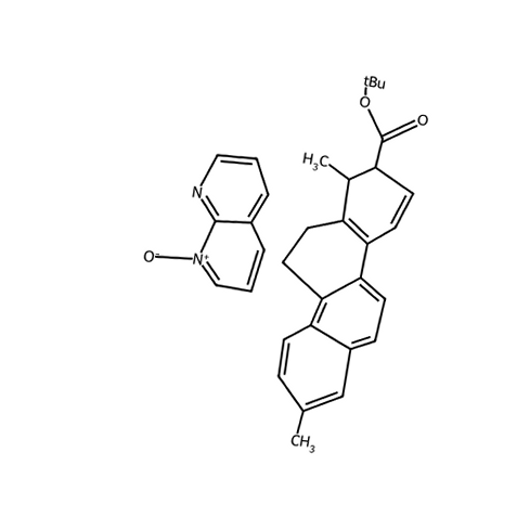 Cc1ccc2c3c(ccc2c1)C1=C(CC3)C(C)C(C(=O)OC(C)(C)C)C=C1.[O-][n+]1cccc2cccnc21